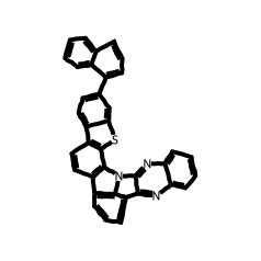 c1ccc2c(-c3ccc4c(c3)sc3c4ccc4c5cccc6c7nc8ccccc8nc7n(c56)c43)cccc2c1